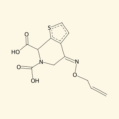 C=CCON=C1CN(C(=O)O)C(C(=O)O)c2sccc21